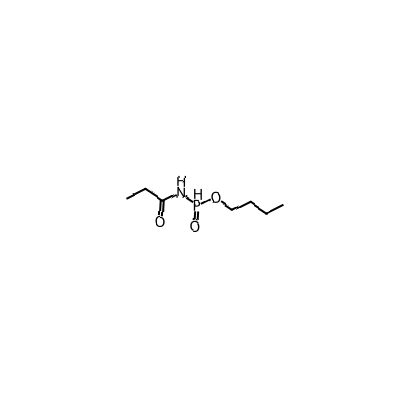 CCCCO[PH](=O)NC(=O)CC